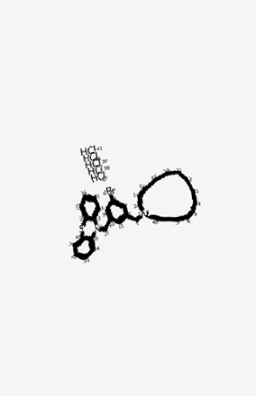 Brc1cc(CN2CCCCCCCCCCCCC2)cc(CN2c3ccccc3Sc3ccccc32)c1.Cl.Cl.Cl.Cl.Cl